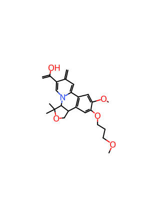 C=C(O)C1=CN2C(=CC1=C)c1cc(OC)c(OCCCOC)cc1C1COC(C)(C)C12